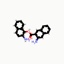 Nc1cc2ccccc2cc1C(=O)Oc1c(N)ccc2ccccc12